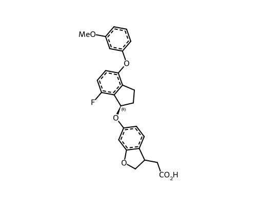 COc1cccc(Oc2ccc(F)c3c2CC[C@H]3Oc2ccc3c(c2)OCC3CC(=O)O)c1